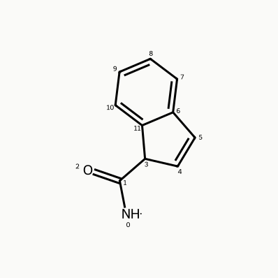 [NH]C(=O)C1C=Cc2ccccc21